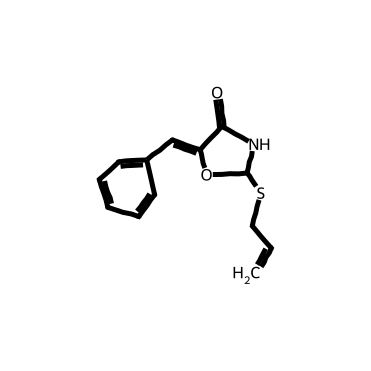 C=CCSC1NC(=O)C(=Cc2ccccc2)O1